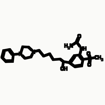 CS(=O)(=O)c1ccc(C(O)CCCCCN2CCN(c3ccccc3)CC2)cc1NC(N)=O